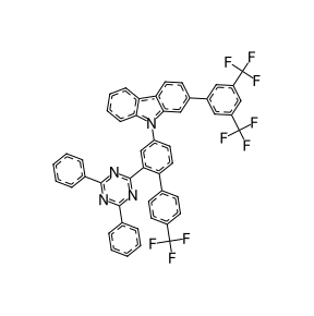 FC(F)(F)c1ccc(-c2ccc(-n3c4ccccc4c4ccc(-c5cc(C(F)(F)F)cc(C(F)(F)F)c5)cc43)cc2-c2nc(-c3ccccc3)nc(-c3ccccc3)n2)cc1